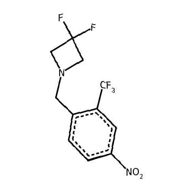 O=[N+]([O-])c1ccc(CN2CC(F)(F)C2)c(C(F)(F)F)c1